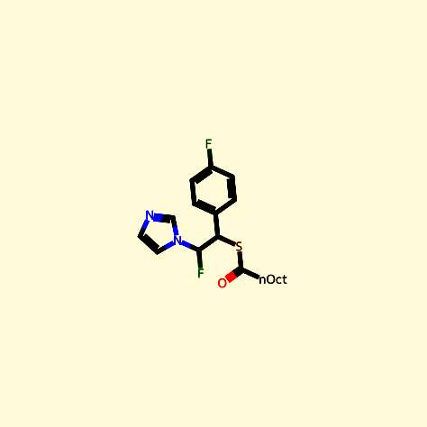 CCCCCCCCC(=O)SC(c1ccc(F)cc1)C(F)n1ccnc1